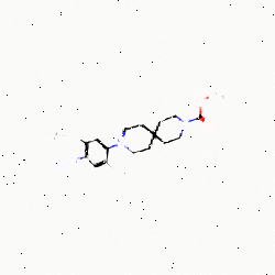 COc1cc(N2CCC3(CCN(C(=O)OC(C)(C)C)CC3)CC2)c(C)cc1N